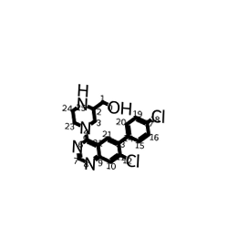 OCC1CN(c2ncnc3cc(Cl)c(-c4ccc(Cl)cc4)cc23)CCN1